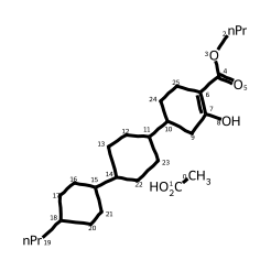 CC(=O)O.CCCOC(=O)C1=C(O)CC(C2CCC(C3CCC(CCC)CC3)CC2)CC1